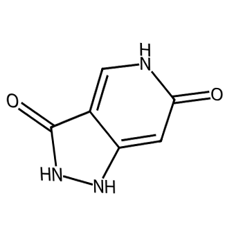 O=c1cc2[nH][nH]c(=O)c2c[nH]1